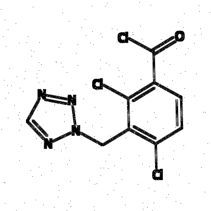 O=C(Cl)c1ccc(Cl)c(Cn2ncnn2)c1Cl